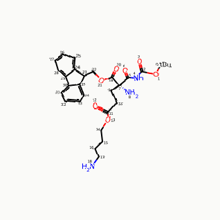 CC(C)(C)OC(=O)NC(=O)[C@@](N)(CCC(=O)OCCCCN)C(=O)OCC1c2ccccc2-c2ccccc21